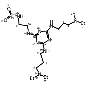 CCN(CC)CCCNc1nc(NCCCN(CC)CC)nc(NCCN[SH](=O)=O)n1